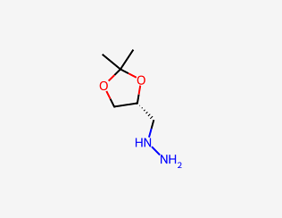 CC1(C)OC[C@@H](CNN)O1